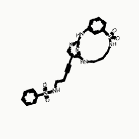 O=S(=O)(NCCC#Cc1cnc2nc1NCCCNS(=O)(=O)c1cccc(c1)N2)c1ccccc1